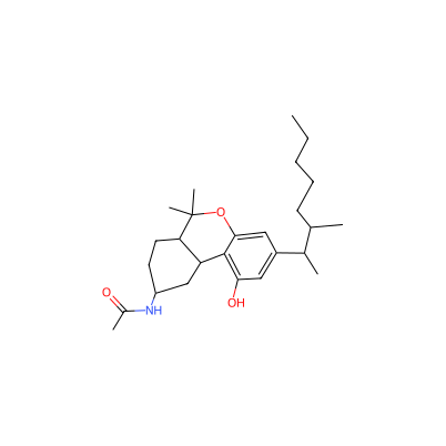 CCCCCC(C)C(C)c1cc(O)c2c(c1)OC(C)(C)C1CCC(NC(C)=O)CC21